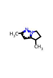 Cc1cc2n(n1)CCC2C